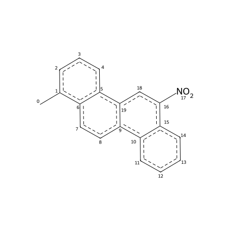 Cc1cccc2c1ccc1c3ccccc3c([N+](=O)[O-])cc21